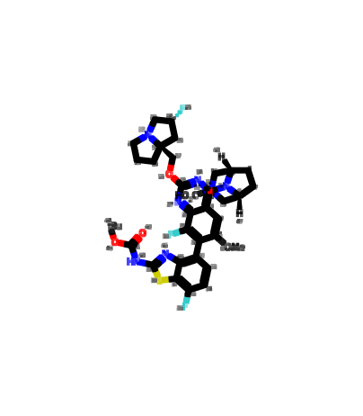 COc1cc2c(N3[C@@H]4CC[C@H]3CN(C(=O)O)C4)nc(OC[C@@]34CCCN3C[C@H](F)C4)nc2c(F)c1-c1ccc(F)c2sc(NC(=O)OC(C)(C)C)nc12